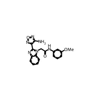 COc1cccc(NC(=O)Cn2c(-c3nonc3N)nc3ccccc32)c1